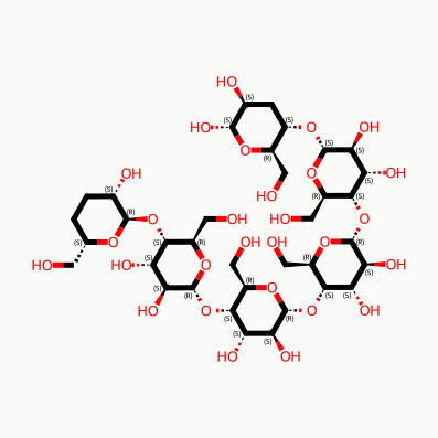 OC[C@@H]1CC[C@H](O)[C@@H](O[C@H]2[C@@H](O)[C@H](O)[C@@H](O[C@H]3[C@@H](O)[C@H](O)[C@@H](O[C@H]4[C@@H](O)[C@H](O)[C@@H](O[C@H]5[C@@H](O)[C@H](O)[C@@H](O[C@H]6C[C@H](O)[C@@H](O)O[C@@H]6CO)O[C@@H]5CO)O[C@@H]4CO)O[C@@H]3CO)O[C@@H]2CO)O1